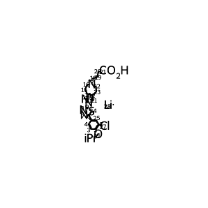 CC(C)Oc1ccc(-c2nnc(-n3cc4c(n3)CCN(CCCC(=O)O)CC4)s2)cc1Cl.[Li]